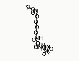 CCC1C(=O)N(C)c2cnc(Nc3ccc(C(=O)NCCOCCOCCOCCOCCN(C)C(=O)OCC[Si](C)(C)C)cc3OC)nc2N1C1CCCC1